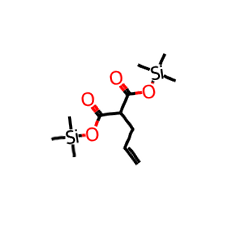 C=CCC(C(=O)O[Si](C)(C)C)C(=O)O[Si](C)(C)C